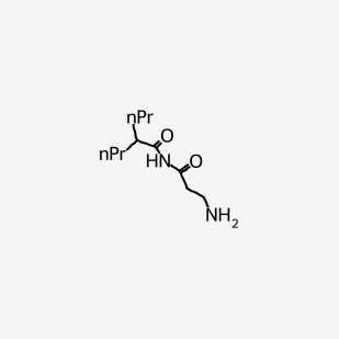 CCCC(CCC)C(=O)NC(=O)CCN